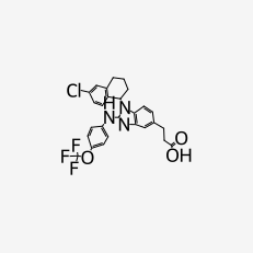 O=C(O)CCc1ccc2c(c1)nc(Nc1ccc(OC(F)(F)F)cc1)n2[C@H]1CCCc2cc(Cl)ccc21